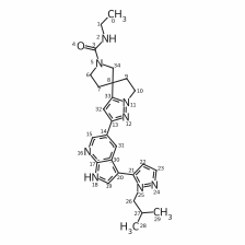 CCNC(=O)N1CCC2(CCn3nc(-c4cnc5[nH]cc(-c6ccnn6CC(C)C)c5c4)cc32)C1